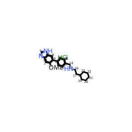 COc1cc2nc[nH]c2cc1-c1ccc(CNCCC2CCCCC2)cc1.Cl